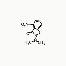 CN(C)N1Cc2cccc([N+](=O)[O-])c2C1=O